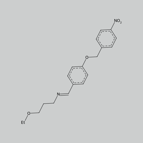 CCOCCC/N=C/c1ccc(OCc2ccc([N+](=O)[O-])cc2)cc1